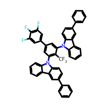 Fc1cc(-c2cc(-n3c4ccccc4c4cc(-c5ccccc5)ccc43)c(C(F)(F)F)c(-n3c4ccccc4c4cc(-c5ccccc5)ccc43)c2)cc(F)c1F